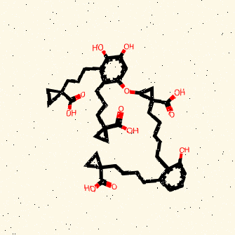 O=C(O)C1(CCCCc2cccc(O)c2CCCCCC2(C(=O)O)CC2Oc2cc(O)c(O)c(CCCC3(C(=O)O)CC3)c2CCCC2(C(=O)O)CC2)CC1